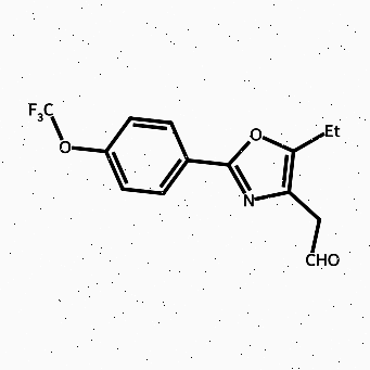 CCc1oc(-c2ccc(OC(F)(F)F)cc2)nc1CC=O